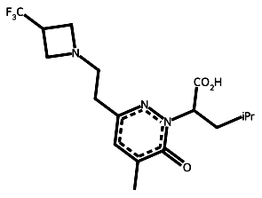 Cc1cc(CCN2CC(C(F)(F)F)C2)nn(C(CC(C)C)C(=O)O)c1=O